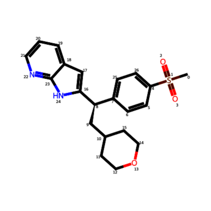 CS(=O)(=O)c1ccc([C@@H](CC2CCOCC2)c2cc3cccnc3[nH]2)cc1